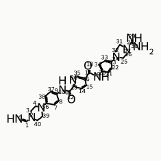 N=CN1CCN(c2ccc(NC(=O)c3ccc(C(=O)Nc4ccc(N5CCN(C(=N)N)CC5)cc4)cn3)cc2)CC1